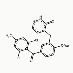 COc1ccc(C(=O)c2c(Cl)cc(C)cc2Cl)cc1Cc1ccn[nH]c1=O